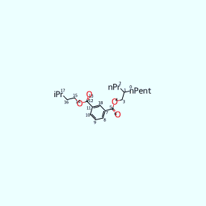 CCCCCC(CCC)COC(=O)c1cccc(C(=O)OCCC(C)C)c1